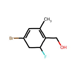 CC1=C(CO)C(F)CC(Br)=C1